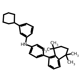 CC1(C)CCC(C)(C)c2c(-c3ccc(Nc4cccc(C5CCCCC5)c4)cc3)cccc21